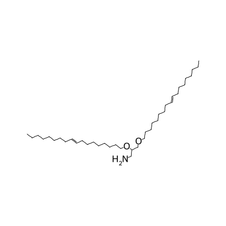 CCCCCCCCC=CCCCCCCCCOCC(CN)OCCCCCCCCC=CCCCCCCCC